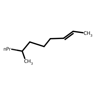 CC=CCCCC(C)CCC